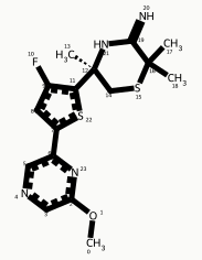 COc1cncc(-c2cc(F)c([C@]3(C)CSC(C)(C)C(=N)N3)s2)n1